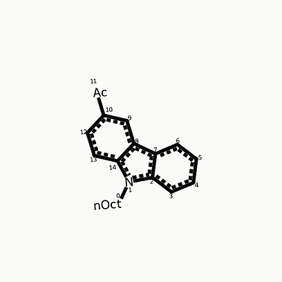 CCCCCCCCn1c2ccccc2c2cc(C(C)=O)ccc21